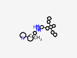 Cc1cccccc(-c2cccccccnc2)ccc1-c1ccc(N/N=C2/C=C(c3ccc4c(-c5ccc6ccccc6c5)c5ccccc5c(-c5ccc6ccccc6c5)c4c3)C=CC2=N)cc1